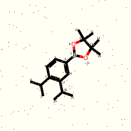 CC(C)c1ccc(B2OC(C)(C)C(C)(C)O2)cc1C(C)C